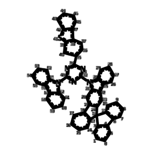 c1ccc2c(c1)-c1ccccc1C21c2ccccc2-c2cc3c(cc21)c1ccccc1n3-c1nc(-c2ccc3c(c2)sc2ccccc23)nc(-n2c3ccccc3c3ccccc32)n1